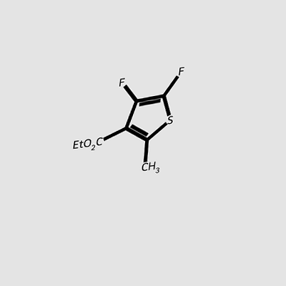 CCOC(=O)c1c(C)sc(F)c1F